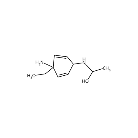 CCC1(N)C=CC(NC(C)O)C=C1